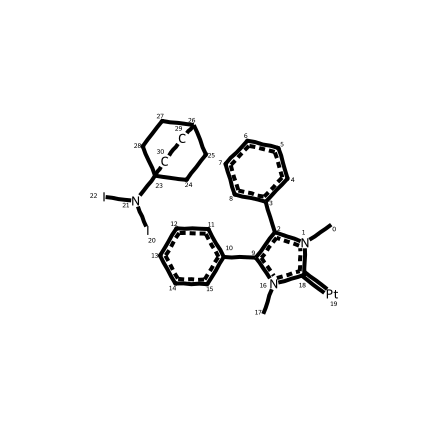 Cn1c(-c2ccccc2)c(-c2ccccc2)n(C)[c]1=[Pt].IN(I)C12CCC(CC1)CC2